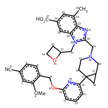 COc1cc(C#N)ccc1COc1cccc(C23CCN(Cc4nc5c(C)cc(C(=O)O)cc5n4CC4CCO4)CC2C3)n1